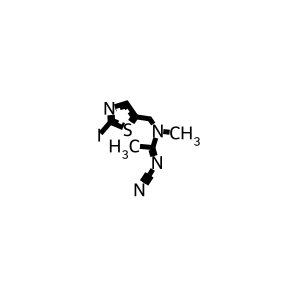 C/C(=N\C#N)N(C)Cc1cnc(I)s1